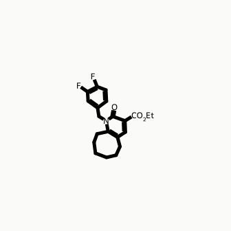 CCOC(=O)c1cc2c(n(Cc3ccc(F)c(F)c3)c1=O)CCCCCC2